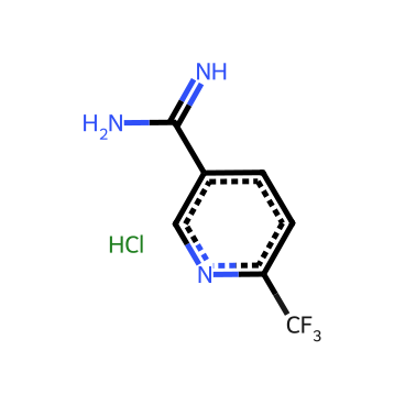 Cl.N=C(N)c1ccc(C(F)(F)F)nc1